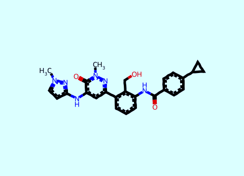 Cn1ccc(Nc2cc(-c3cccc(NC(=O)c4ccc(C5CC5)cc4)c3CO)nn(C)c2=O)n1